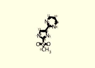 CS(=O)(=O)C1=NC(c2ncccn2)=C[N]1